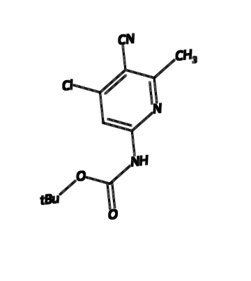 Cc1nc(NC(=O)OC(C)(C)C)cc(Cl)c1C#N